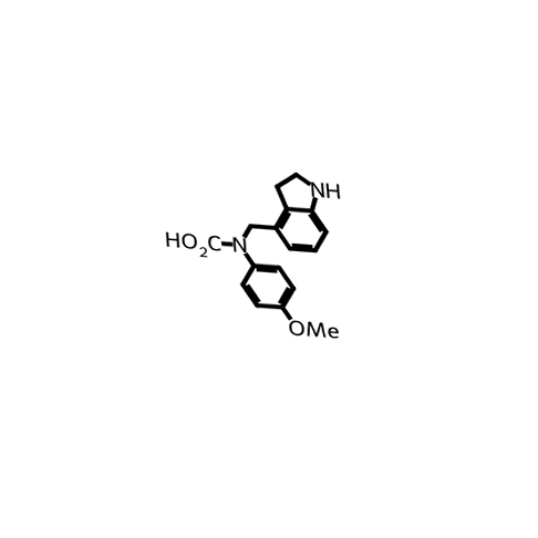 COc1ccc(N(Cc2cccc3c2CCN3)C(=O)O)cc1